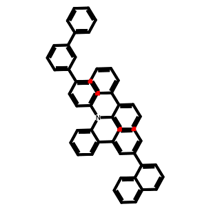 c1ccc(-c2cccc(-c3ccc(N(c4ccccc4-c4ccccc4)c4ccccc4-c4cccc(-c5cccc6ccccc56)c4)cc3)c2)cc1